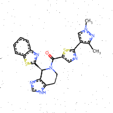 Cc1nn(C)cc1-c1ncc(C(=O)N2CCc3[nH]cnc3[C@H]2c2nc3ccccc3s2)s1